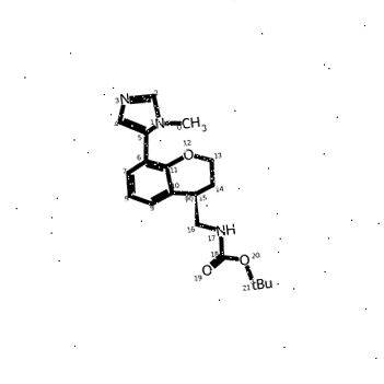 Cn1cncc1-c1cccc2c1OCC[C@H]2CNC(=O)OC(C)(C)C